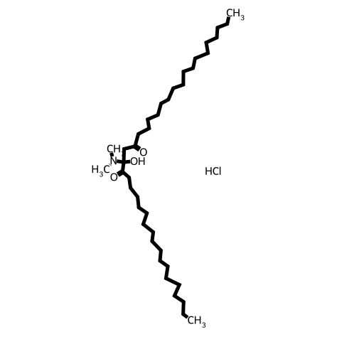 CCCCCCCCCCCCCCCCCC(=O)CC(O)(C(=O)CCCCCCCCCCCCCCCCC)N(C)C.Cl